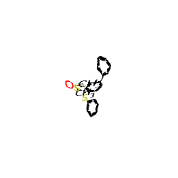 C[S+](C)[O-].c1ccc(Sc2ccc(-c3ccccc3)cc2)cc1